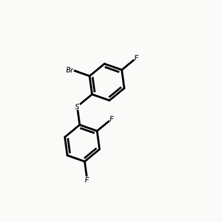 Fc1ccc(Sc2ccc(F)cc2Br)c(F)c1